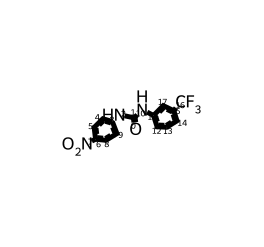 O=C(Nc1ccc([N+](=O)[O-])cc1)Nc1cccc(C(F)(F)F)c1